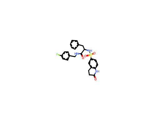 O=C1CCc2cc(S(=O)(=O)NC(Cc3ccccc3)C(=O)NCc3ccc(F)cc3)ccc2N1